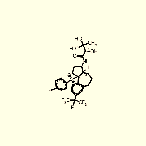 CC(C)(O)[C@@H](O)C(=O)N[C@@H]1CC[C@@]2(S(=O)(=O)c3ccc(F)cc3)c3ccc(C(F)(C(F)(F)F)C(F)(F)F)cc3CCC[C@@H]12